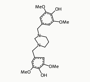 COc1cc(CN2CCCN(Cc3cc(OC)c(O)c(OC)c3)C2)cc(OC)c1O